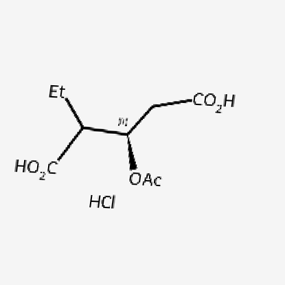 CCC(C(=O)O)[C@@H](CC(=O)O)OC(C)=O.Cl